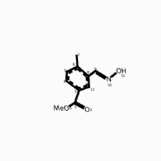 COC(=O)c1ccc(C)c(C=NO)c1